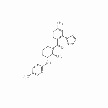 Cc1ccc(C(=O)N2CCC[C@@H](Nc3ccc(C(F)(F)F)cn3)[C@@H]2C)c(-n2nccn2)c1